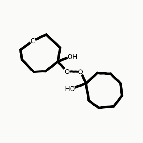 OC1(OOC2(O)CCCCCCC2)CCCCCCC1